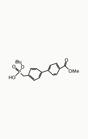 CCC(C)OP(=O)(O)Cc1ccc(-c2ccc(C(=O)OC)cc2)cc1